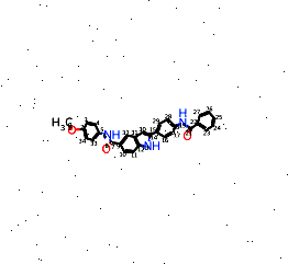 COc1ccc(NC(=O)c2ccc3[nH]c(-c4ccc(NC(=O)c5ccccc5)cc4)cc3c2)cc1